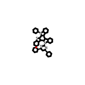 c1ccc(-c2cc(-c3ccccc3)nc(-n3c4ccccc4c4c5c6ccccc6n(-c6ccccc6)c5c5sc6ccccc6c5c43)n2)cc1